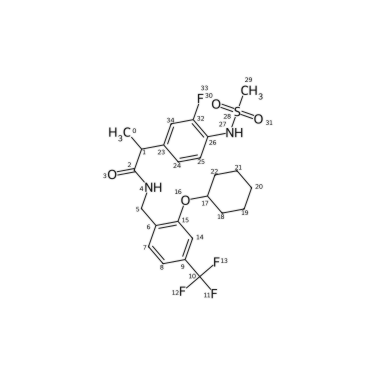 CC(C(=O)NCc1ccc(C(F)(F)F)cc1OC1CCCCC1)c1ccc(NS(C)(=O)=O)c(F)c1